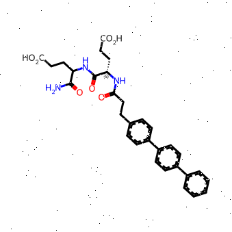 NC(=O)C(CCC(=O)O)NC(=O)[C@H](CCC(=O)O)NC(=O)CCc1ccc(-c2ccc(-c3ccccc3)cc2)cc1